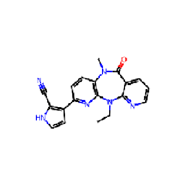 CCN1c2ncccc2C(=O)N(C)c2ccc(-c3cc[nH]c3C#N)nc21